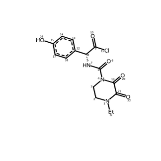 CCN1CCN(C(=O)N[C@@H](C(=O)Cl)c2ccc(O)cc2)C(=O)C1=O